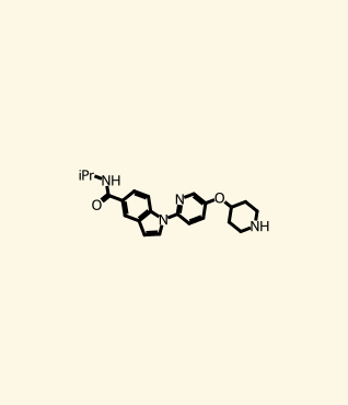 CC(C)NC(=O)c1ccc2c(ccn2-c2ccc(OC3CCNCC3)cn2)c1